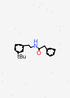 CC(C)(C)c1cccc(CCNC(=O)Cc2ccccc2)c1